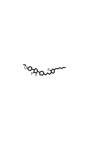 CCCCCCC1CCC(CCCC2CCC(C3CCC(C4CCC(OCC)CC4)C(F)C3F)CC2)C(F)C1